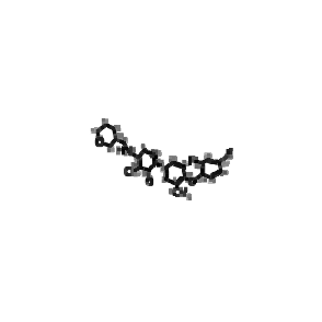 Cc1cc(-n2ncc(NC[C@@H]3CCCOC3)c(Cl)c2=O)ccc1Oc1ccc(F)cc1F